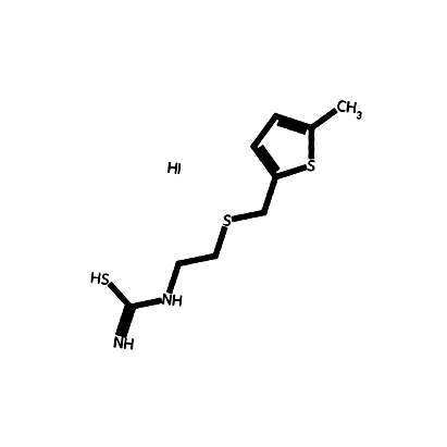 Cc1ccc(CSCCNC(=N)S)s1.I